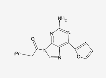 CC(C)CC(=O)n1cnc2c(-c3ccco3)nc(N)nc21